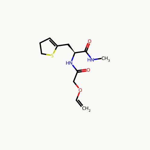 C=COCC(=O)N[C@@H](CC1=CCCS1)C(=O)NC